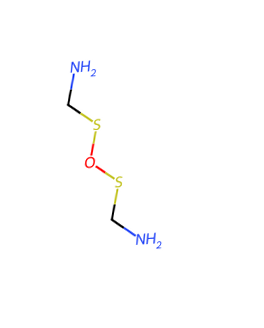 NCSOSCN